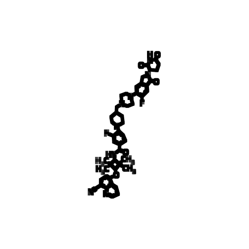 CC1(C)C(NC(=O)c2ccc(N3CCC(CN4CCN(c5cc6c(cc5F)C(=O)N([C@H]5CCC(=O)NC5=O)C6)CC4)CC3)c(F)c2)C(C)(C)C1Oc1ccc(C#N)c2ncccc12